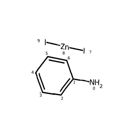 Nc1c[c]ccc1.[I][Zn][I]